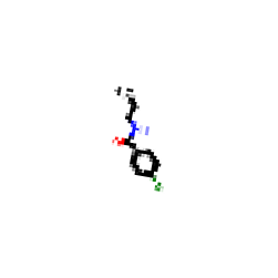 C=CCNC(=O)c1ccc(Br)cc1